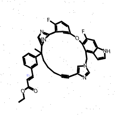 CCOC(=O)/C=C/c1cccc(C2(C)CCCC#Cc3cn(cn3)Cc3c(c(F)cc4[nH]ccc34)Oc3ccc(F)c(c3)-c3ncc2[nH]3)c1